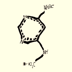 CC(=O)Nc1cc(NC(=O)O)ncn1